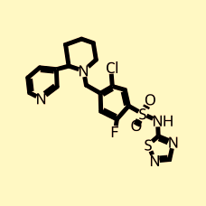 O=S(=O)(Nc1ncns1)c1cc(Cl)c(CN2CCCCC2c2cccnc2)cc1F